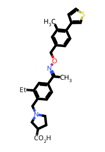 CCc1cc(C(C)=NOCc2ccc(-c3ccsc3)c(C)c2)ccc1CN1CCC(C(=O)O)C1